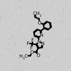 C=CCOc1ccccc1-c1cccc(-n2ncc(C(=O)OCC)c2C(F)(F)F)n1